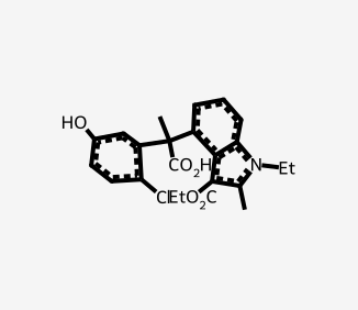 CCOC(=O)c1c(C)n(CC)c2cccc(C(C)(C(=O)O)c3cc(O)ccc3Cl)c12